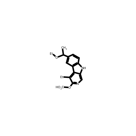 CCOC(C)c1ccc2[nH]c3cnc(OC(=O)O)c(CC)c3c2c1